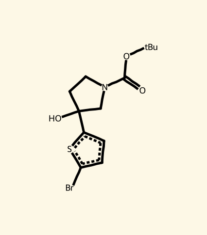 CC(C)(C)OC(=O)N1CCC(O)(c2ccc(Br)s2)C1